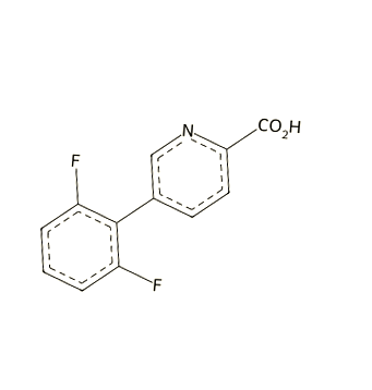 O=C(O)c1ccc(-c2c(F)cccc2F)cn1